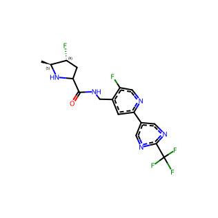 C[C@@H]1NC(C(=O)NCc2cc(-c3cnc(C(F)(F)F)nc3)ncc2F)C[C@H]1F